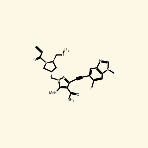 C=CC(=O)N1C[C@@H](Cn2nc(C#Cc3cc4ncn(C)c4cc3F)c(C(N)=O)c2NC)C[C@@H]1COC(F)(F)F